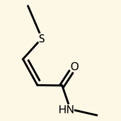 CNC(=O)/C=C\SC